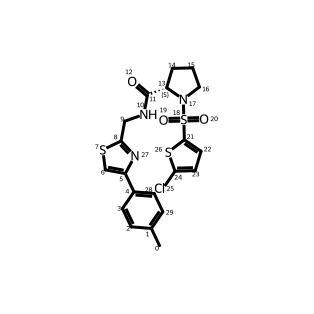 Cc1ccc(-c2csc(CNC(=O)[C@@H]3CCCN3S(=O)(=O)c3ccc(Cl)s3)n2)cc1